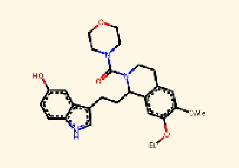 CCOc1cc2c(cc1OC)CCN(C(=O)N1CCOCC1)C2CCc1c[nH]c2ccc(O)cc12